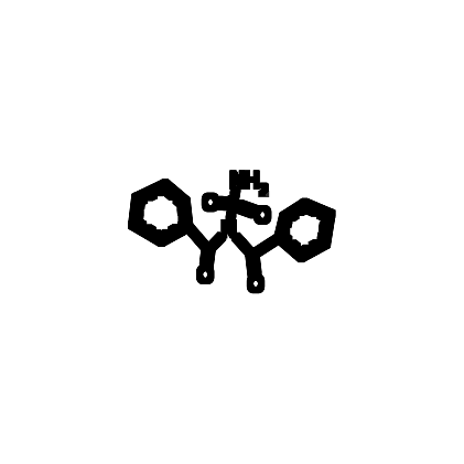 NS(=O)(=O)N(C(=O)c1ccccc1)C(=O)c1ccccc1